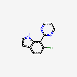 Clc1ccc2cc[nH]c2c1-c1ncccn1